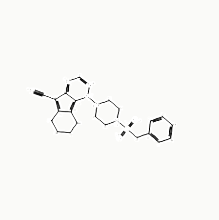 N#Cc1c2ncnn(N3CCN(S(=O)(=O)Cc4ccccc4)CC3)c-2c2c1CCCC2